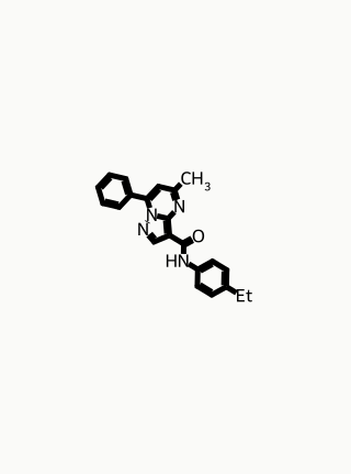 CCc1ccc(NC(=O)c2cnn3c(-c4ccccc4)cc(C)nc23)cc1